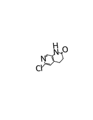 O=C1CCc2cc(Cl)ncc2N1